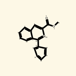 COC(=O)c1cc2ccccc2c(-c2ccccc2)n1